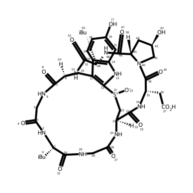 CCC(C)[C@@H]1NC(=O)CNC(=O)[C@@H]2Cc3c([nH]c4cc(O)ccc34)[S+]([O-])C[C@H](NC(=O)CNC1=O)C(=O)N[C@@H](CC(=O)O)C(=O)N1C[C@H](O)C[C@H]1C(=O)N[C@@H]([C@@H](C)CC)C(=O)N2